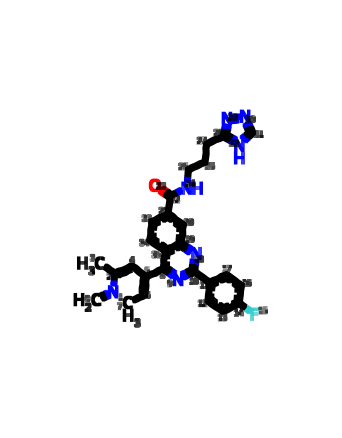 C=N/C(C)=C\C(=C/C)c1nc(-c2ccc(F)cc2)nc2cc(C(=O)NCCCc3nnc[nH]3)ccc12